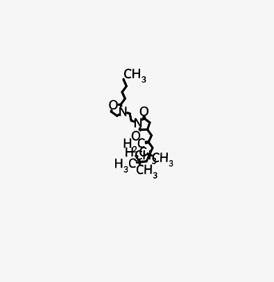 C=C(CC1CC(=O)N(CCN2CCOC2CCCCC)C1=O)CC(C)(C)CC(C)(C)C